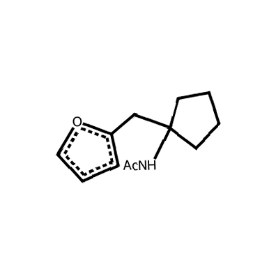 CC(=O)NC1(Cc2ccco2)CCCC1